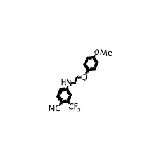 COc1ccc(OCCNc2ccc(C#N)c(C(F)(F)F)c2)cc1